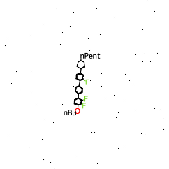 CCCCCC1CC=C(c2ccc(-c3ccc(-c4ccc(OCCCC)c(F)c4F)cc3)c(F)c2)CC1